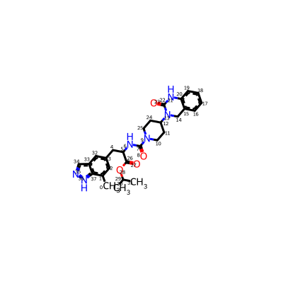 Cc1cc(CC(NC(=O)N2CCC(N3Cc4ccccc4NC3=O)CC2)C(=O)OC(C)C)cc2cn[nH]c12